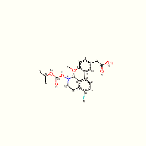 COc1ccc(CC(=O)O)cc1-c1ccc(F)c2c1CN(OC(=O)OC(C)C)CC2